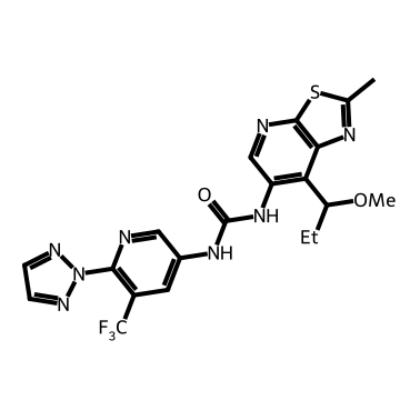 CCC(OC)c1c(NC(=O)Nc2cnc(-n3nccn3)c(C(F)(F)F)c2)cnc2sc(C)nc12